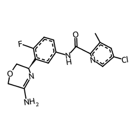 Cc1cc(Cl)cnc1C(=O)Nc1ccc(F)c([C@@H]2COCC(N)=N2)c1